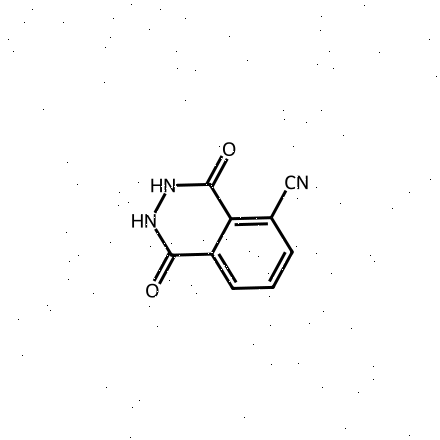 N#Cc1cccc2c(=O)[nH][nH]c(=O)c12